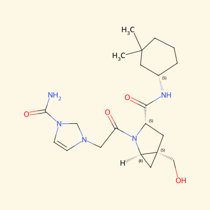 CC1(C)CCC[C@H](NC(=O)[C@@H]2C[C@@]3(CO)C[C@H]3N2C(=O)CN2C=CN(C(N)=O)C2)C1